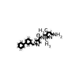 Cc1cc(N)nc(C)c1CNC(=O)c1cnn(Cc2cccc(-c3ccccc3)c2)c1